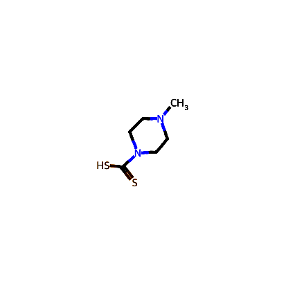 CN1CCN(C(=S)S)CC1